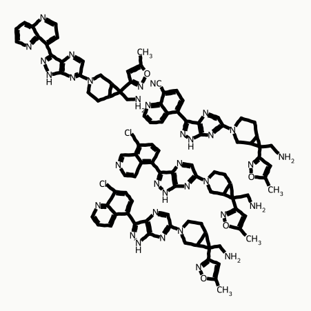 Cc1cc(C2(CN)C3CCN(c4cnc5c(-c6ccc(C#N)c7ncccc67)n[nH]c5n4)CC32)no1.Cc1cc(C2(CN)C3CCN(c4cnc5c(-c6ccc(Cl)c7cnccc67)n[nH]c5n4)CC32)no1.Cc1cc(C2(CN)C3CCN(c4cnc5c(-c6ccc(Cl)c7ncccc67)n[nH]c5n4)CC32)no1.Cc1cc(C2(CN)C3CCN(c4cnc5c(-c6ccnc7cccnc67)n[nH]c5n4)CC32)no1